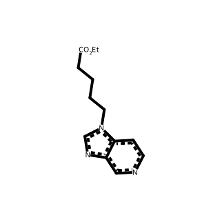 CCOC(=O)CCCCn1cnc2cnccc21